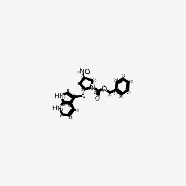 O=N[C@@H]1C[C@@H](Cc2c[nH]c3c2C=CCN3)N(C(=O)OCc2ccccc2)C1